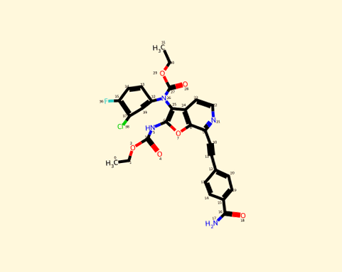 CCOC(=O)Nc1oc2c(C#Cc3ccc(C(N)=O)cc3)nccc2c1N(C(=O)OCC)c1ccc(F)c(Cl)c1